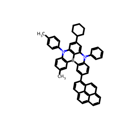 Cc1ccc(N2c3ccc(C)cc3B3c4cc(-c5ccc6ccc7cccc8ccc5c6c78)ccc4N(c4ccccc4)c4cc(C5CCCCC5)cc2c43)cc1